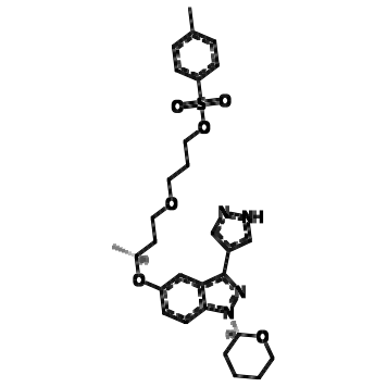 Cc1ccc(S(=O)(=O)OCCCOCC[C@@H](C)Oc2ccc3c(c2)c(-c2cn[nH]c2)nn3[C@H]2CCCCO2)cc1